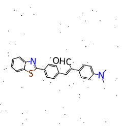 CN(C)c1ccc(/C(C=O)=C/c2ccc(-c3nc4ccccc4s3)cc2)cc1